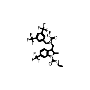 CCOC(=O)N1c2cc(C(F)(F)F)ccc2C(CN(Cc2cc(C(F)(F)F)cc(C(F)(F)F)c2)C(=O)OC)C1C